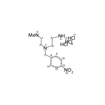 CNCCN(CCN)Cc1ccc([N+](=O)[O-])cc1.Cl.Cl.Cl